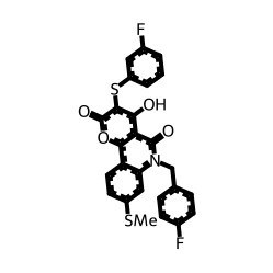 CSc1ccc2c3oc(=O)c(Sc4cccc(F)c4)c(O)c3c(=O)n(Cc3ccc(F)cc3)c2c1